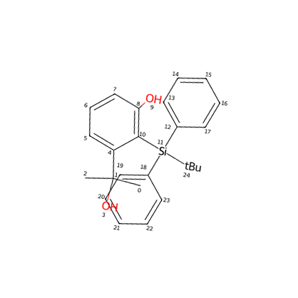 CC(C)(O)c1cccc(O)c1[Si](c1ccccc1)(c1ccccc1)C(C)(C)C